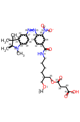 [2H]OCC(CCCCNC(=O)c1ccc(/N=N\c2ccc3c(c2)C(C)(C)C(=C)N3C)c([N+](=O)[O-])c1)COC(=O)CCC(=O)O